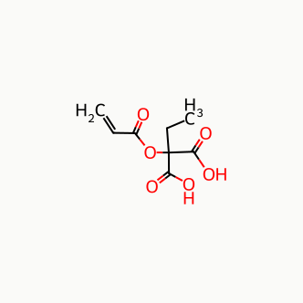 C=CC(=O)OC(CC)(C(=O)O)C(=O)O